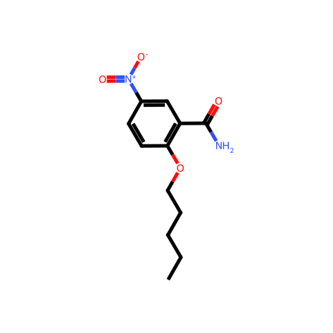 CCCCCOc1ccc([N+](=O)[O-])cc1C(N)=O